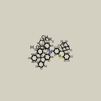 CC1(C)CCC(C)(C)c2cc(N(c3ccc4c(c3)Sc3ccccc3C43C4CC5CC6CC3C64C5)c3ccc4c(c3)C(c3ccccc3)(c3ccccc3)c3ccccc3-4)ccc21